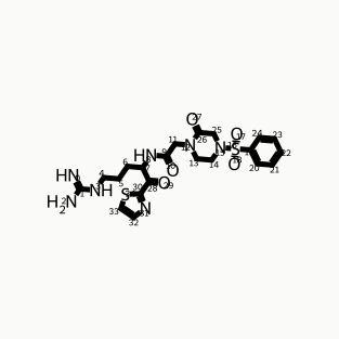 N=C(N)NCCCC(NC(=O)CN1CCN(S(=O)(=O)c2ccccc2)CC1=O)C(=O)c1nccs1